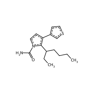 CCCCC(CC)c1c(-c2ccsc2)ccn1C(N)=O